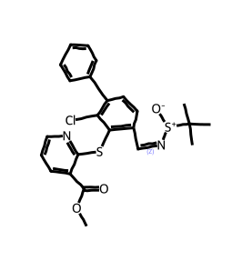 COC(=O)c1cccnc1Sc1c(/C=N\[S+]([O-])C(C)(C)C)ccc(-c2ccccc2)c1Cl